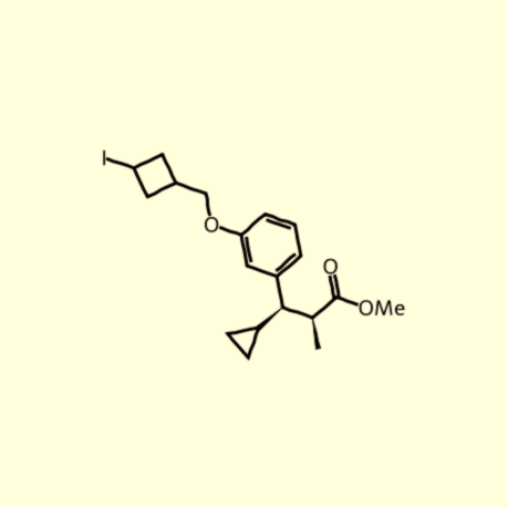 COC(=O)[C@@H](C)[C@H](c1cccc(OCC2CC(I)C2)c1)C1CC1